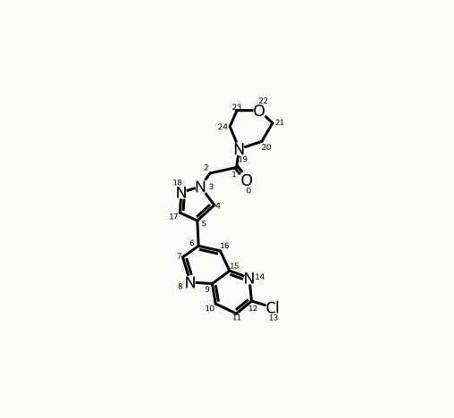 O=C(Cn1cc(-c2cnc3ccc(Cl)nc3c2)cn1)N1CCOCC1